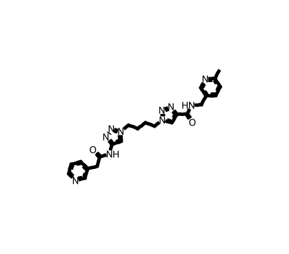 Cc1ccc(CNC(=O)c2cn(CCCCn3cc(NC(=O)Cc4cccnc4)nn3)nn2)cn1